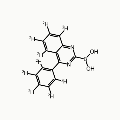 [2H]c1c([2H])c([2H])c(-c2nc(B(O)O)nc3c([2H])c([2H])c([2H])c([2H])c23)c([2H])c1[2H]